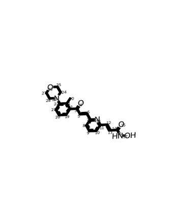 Cc1c(C(=O)C=Cc2cccc(C=CC(=O)NO)n2)cccc1N1CCOCC1